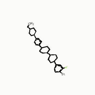 C=CC1CCC(c2ccc(C3CCC(C4CCC(c5ccc(CC)c(F)c5)CC4)CC3)cc2)CC1